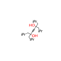 CC(C)CC(O)(C#CC(O)(CC(C)C)CC(C)C)CC(C)C